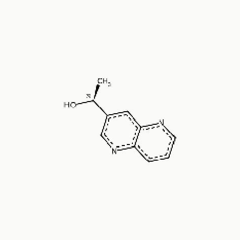 C[C@H](O)c1cnc2cccnc2c1